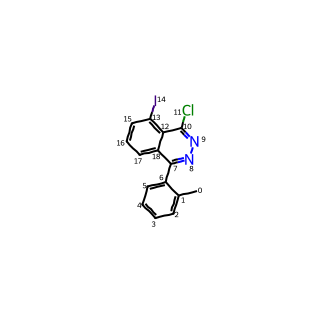 Cc1ccccc1-c1nnc(Cl)c2c(I)cccc12